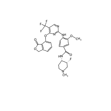 COc1cc(C(=O)N[C@H]2CCN(C)C[C@H]2F)ccc1Nc1ncc(C(F)(F)F)c(Oc2cccc3c2C(=O)OC3)n1